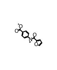 COC(=O)c1ccc(N(C)C(=O)c2ccco2)cc1